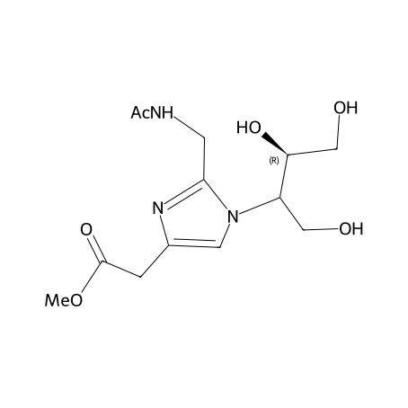 COC(=O)Cc1cn(C(CO)[C@@H](O)CO)c(CNC(C)=O)n1